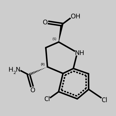 NC(=O)[C@@H]1C[C@@H](C(=O)O)Nc2cc(Cl)cc(Cl)c21